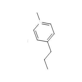 CCCc1cc[n+](C)cc1.[F-]